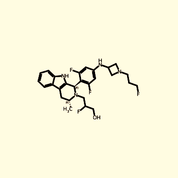 C[C@@H]1Cc2c([nH]c3ccccc23)[C@@H](c2c(F)cc(NC3CN(CCCF)C3)cc2F)N1CC(F)CO